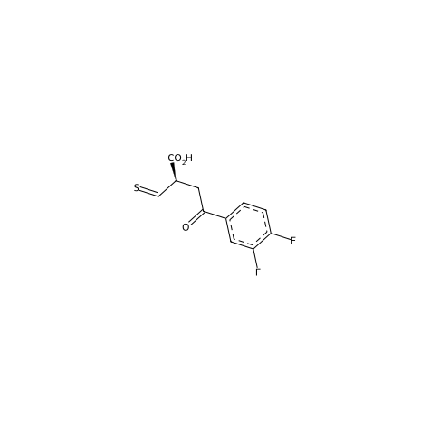 O=C(C[C@@H](C=S)C(=O)O)c1ccc(F)c(F)c1